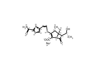 C[C@@H](O)[C@H]1C(=O)N2C(C(=O)[O-])=C(S/C=C\c3csc(C(N)=O)n3)[C@H](C)[C@H]12.[Na+]